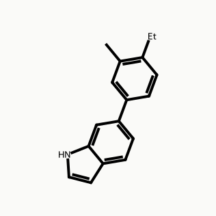 CCc1ccc(-c2ccc3cc[nH]c3c2)cc1C